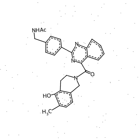 CC(=O)NCc1ccc(-c2nc(C(=O)N3CCc4c(ccc(C)c4O)C3)c3ccccc3n2)cc1